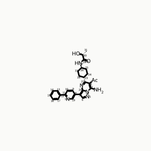 CC(=O)c1c(N)n2ncc(-c3ccc(-c4ccccc4)nc3)c2nc1[C@H]1CC[C@H](NC(=O)[C@@H](C)O)CC1